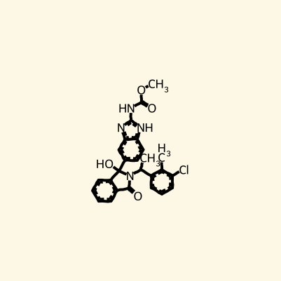 COC(=O)Nc1nc2cc(C3(O)c4ccccc4C(=O)N3C(C)c3cccc(Cl)c3C)ccc2[nH]1